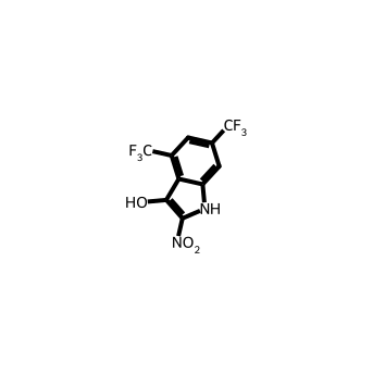 O=[N+]([O-])c1[nH]c2cc(C(F)(F)F)cc(C(F)(F)F)c2c1O